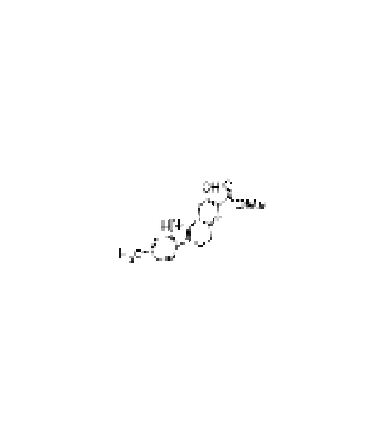 COC(=O)c1cc2c(cc1O)-c1[nH]c3cc(C)ccc3c1CC2